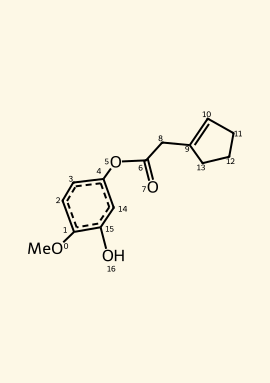 COc1ccc(OC(=O)CC2=CCCC2)cc1O